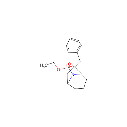 CCOC(=O)N1C2CCCC1C(O)(Cc1ccccc1)C2